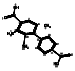 C.Nc1c(C(=O)O)ccc(-c2ccc(C(=O)O)cc2)c1N